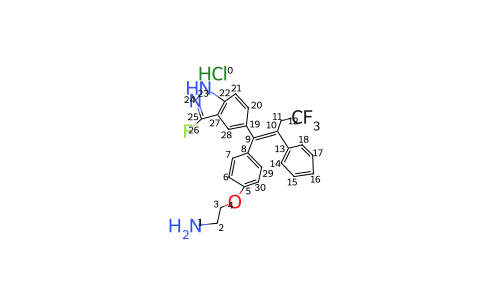 Cl.NCCOc1ccc(/C(=C(/CC(F)(F)F)c2ccccc2)c2ccc3[nH]nc(F)c3c2)cc1